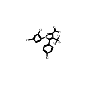 [2H]C([2H])([2H])c1c(C(=O)Cl)nn(-c2ccc(Cl)cc2Cl)c1-c1ccc(Cl)cc1